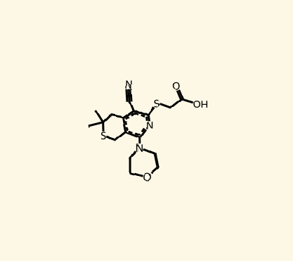 CC1(C)Cc2c(C#N)c(SCC(=O)O)nc(N3CCOCC3)c2CS1